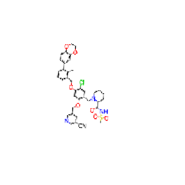 Cc1c(COc2cc(OCc3cncc(C#N)c3)c(CN3CCCC[C@H]3C(=O)NS(C)(=O)=O)cc2Cl)cccc1-c1ccc2c(c1)OCCO2